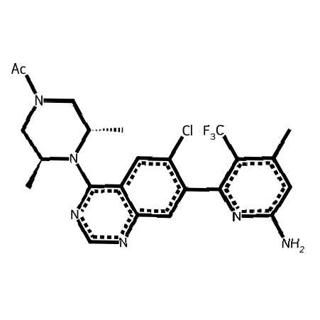 CC(=O)N1C[C@H](C)N(c2ncnc3cc(-c4nc(N)cc(C)c4C(F)(F)F)c(Cl)cc23)[C@@H](C)C1